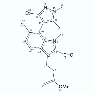 C=C(CCc1c(C=O)n(C)c2c(-c3c(CC)nn(C)c3C)c(Cl)ccc12)OC